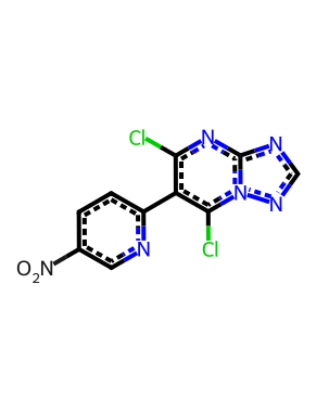 O=[N+]([O-])c1ccc(-c2c(Cl)nc3ncnn3c2Cl)nc1